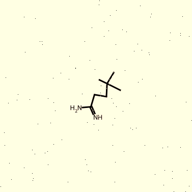 CC(C)(C)CCC(=N)N